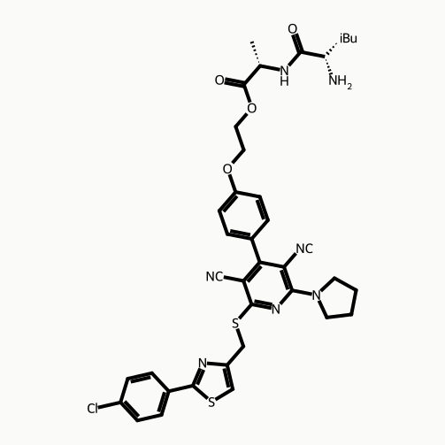 [C-]#[N+]c1c(N2CCCC2)nc(SCc2csc(-c3ccc(Cl)cc3)n2)c(C#N)c1-c1ccc(OCCOC(=O)[C@H](C)NC(=O)[C@@H](N)[C@@H](C)CC)cc1